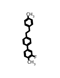 Cc1ccc(CCc2ccc(-c3ccc(C)c(F)c3)cc2)cc1